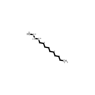 CC[CH]CCCCCCCSSSS